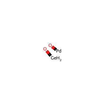 [O]=[GeH2].[O]=[Pd]